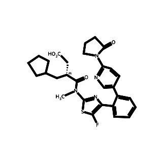 CN(C(=O)[C@@H](CC(=O)O)CC1CCCC1)c1nc(-c2ccccc2-c2ccc(N3CCCC3=O)nc2)c(F)s1